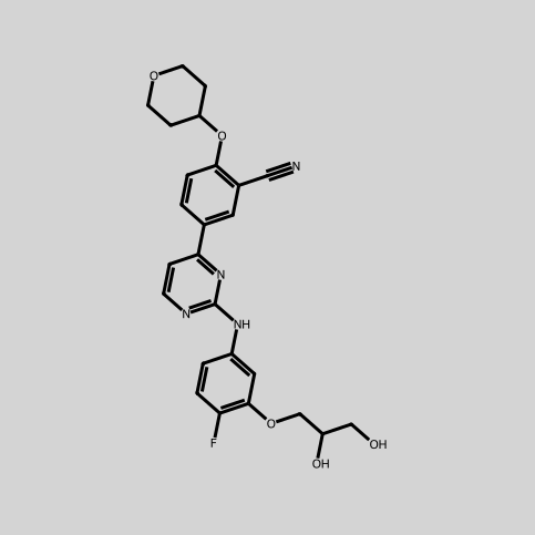 N#Cc1cc(-c2ccnc(Nc3ccc(F)c(OCC(O)CO)c3)n2)ccc1OC1CCOCC1